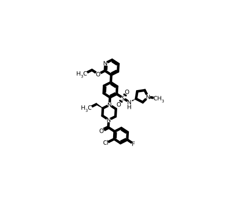 CCOc1ncccc1-c1ccc(N2CCN(C(=O)c3ccc(F)cc3Cl)C[C@H]2CC)c(S(=O)(=O)N[C@@H]2CCN(C)C2)c1